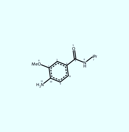 COc1cc(C(=O)NC(C)C)ccc1N